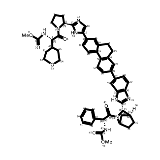 COC(=O)N[C@H](C(=O)N1CCC[C@H]1c1ncc(-c2ccc3c(c2)CCc2cc(-c4ccc5nc([C@@H]6[C@H]7CCC(C7)N6C(=O)[C@H](NC(=O)OC)c6ccccc6)[nH]c5c4)ccc2-3)[nH]1)C1CCOCC1